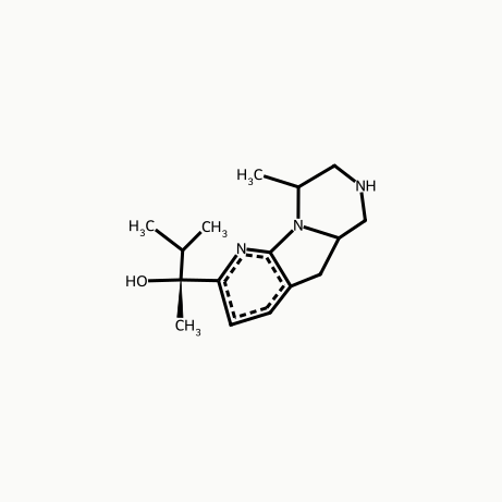 CC1CNCC2Cc3ccc([C@](C)(O)C(C)C)nc3N12